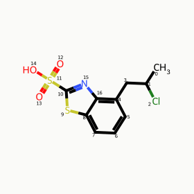 CC(Cl)Cc1cccc2sc(S(=O)(=O)O)nc12